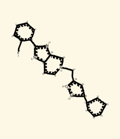 Fc1ccccc1-c1nc2ccn(Cc3cc(-c4ccccc4)no3)cc-2n1